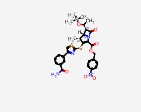 CC(O[Si](C)(C)C)[C@H]1C(=O)N2C(C(=O)OCc3ccc([N+](=O)[O-])cc3)=C(Sc3nc(-c4cccc(C(N)=O)c4)cs3)[C@H](C)[C@H]12